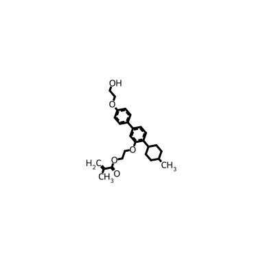 C=C(C)C(=O)OCCOc1cc(-c2ccc(OCCO)cc2)ccc1C1CCC(C)CC1